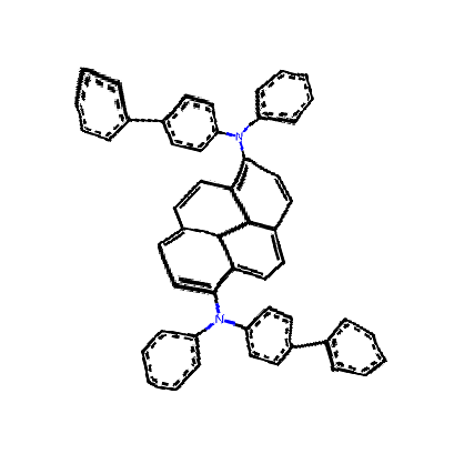 C1=CC2=C(N(c3ccccc3)c3ccc(-c4ccccc4)cc3)C=CC3=CC=C4C(N(c5ccccc5)c5ccc(-c6ccccc6)cc5)=CC=C1C4C32